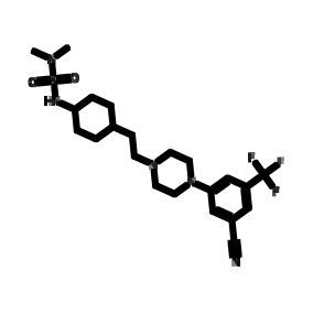 CN(C)S(=O)(=O)NC1CCC(CCN2CCN(c3cc(C#N)cc(C(F)(F)F)c3)CC2)CC1